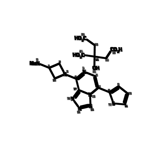 CNC1CN(c2ncc(-c3cccs3)n3nnnc23)C1.O=C(O)CC(O)(CC(=O)O)C(=O)O